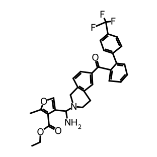 CCOC(=O)c1c(C(N)N2CCc3cc(C(=O)c4ccccc4-c4ccc(C(F)(F)F)cc4)ccc3C2)coc1C